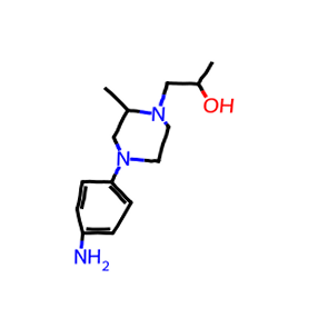 CC(O)CN1CCN(c2ccc(N)cc2)CC1C